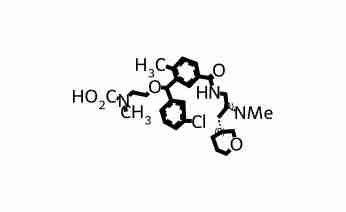 CN[C@@H](CNC(=O)c1ccc(C)c(C(OCCN(C)C(=O)O)c2cccc(Cl)c2)c1)C[C@H]1CCCOC1